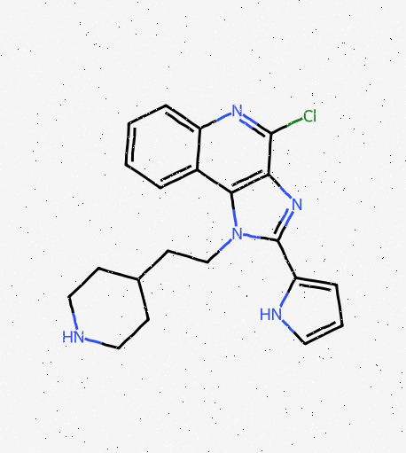 Clc1nc2ccccc2c2c1nc(-c1ccc[nH]1)n2CCC1CCNCC1